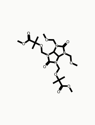 COCN1C(=O)N(COC)C2C1N(COC(C)(C)C(=O)OC)C(=O)N2COC(C)(C)C(=O)OC